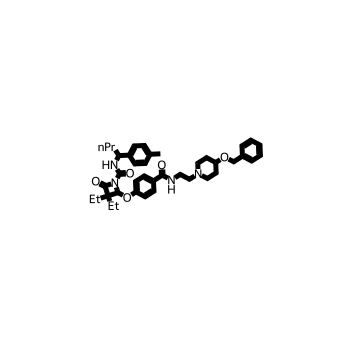 CCCC(NC(=O)N1C(=O)C(CC)(CC)C1Oc1ccc(C(=O)NCCN2CCC(OCc3ccccc3)CC2)cc1)c1ccc(C)cc1